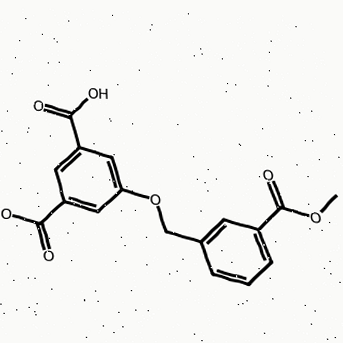 COC(=O)c1cccc(COc2cc(C(=O)O)cc(C(=O)O)c2)c1